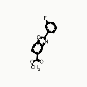 COC(=O)c1ccc2oc(-c3cccc(F)c3)nc2c1